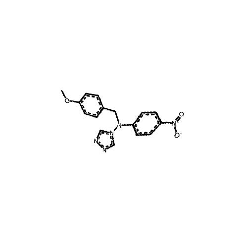 COc1ccc(CN(c2ccc([N+](=O)[O-])cc2)n2cnnc2)cc1